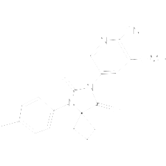 COc1cc(N2C(=O)C3(CCC3)N(c3ccc(C)cc3)C2=S)cnc1C#N